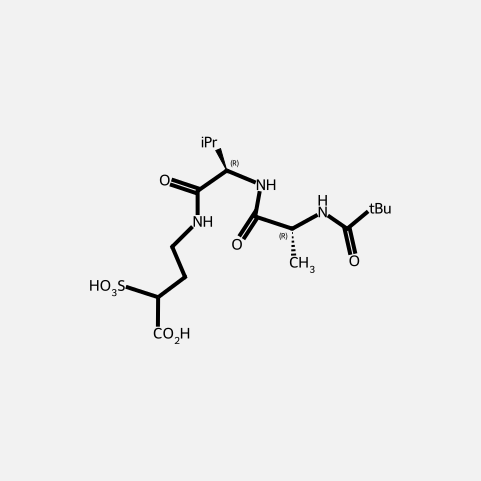 CC(C)[C@@H](NC(=O)[C@@H](C)NC(=O)C(C)(C)C)C(=O)NCCC(C(=O)O)S(=O)(=O)O